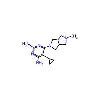 CN1CC2CN(c3nc(N)nc(N)c3C3CC3)CC2C1